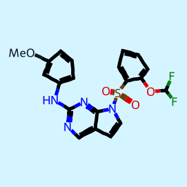 COc1cccc(Nc2ncc3ccn(S(=O)(=O)c4ccccc4OC(F)F)c3n2)c1